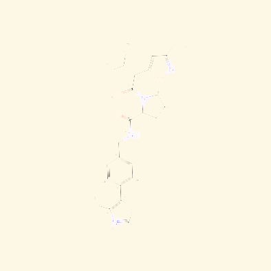 Cc1cc([C@H](C(=O)N2CCCC2C(=O)NCc2ccc(-c3scnc3C)cc2)C(C)C)on1